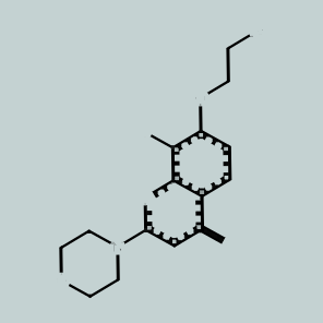 Cc1c(OCCBr)ccc2c(=O)cc(N3CCOCC3)oc12